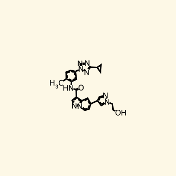 Cc1ccc(-n2nnc(C3CC3)n2)cc1NC(=O)c1cnn2ccc(-c3cnn(CCO)c3)cc12